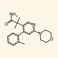 Cc1ccccc1-c1cc(N2CCOCC2)ncc1C(C)(C)C(N)=O